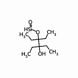 CCC(O)(CC)C(CC)(CC)O[SiH]=O